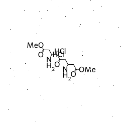 COC(=O)CC(N)CC(=O)CC(N)CC(=O)OC.Cl.Cl